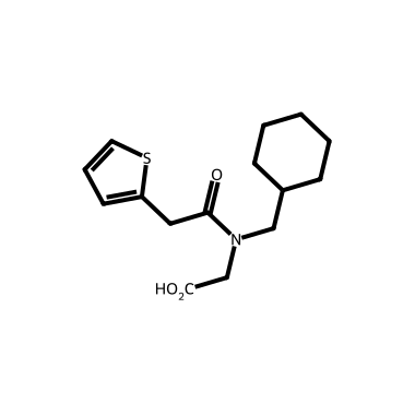 O=C(O)CN(CC1CCCCC1)C(=O)Cc1cccs1